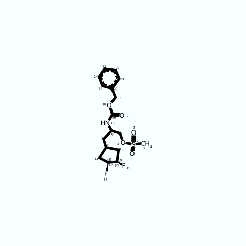 CS(=O)(=O)OCC(CC1C[C@@H](F)[C@@H](F)C1)NC(=O)OCc1ccccc1